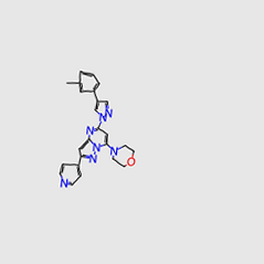 Cc1cccc(-c2cnn(-c3cc(N4CCOCC4)n4nc(-c5ccncc5)cc4n3)c2)c1